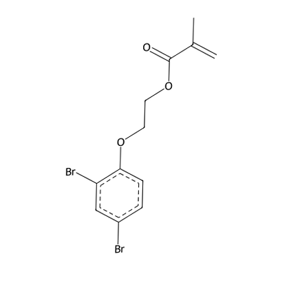 C=C(C)C(=O)OCCOc1ccc(Br)cc1Br